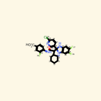 O=C(O)c1ccc(NC(=O)C(C2CCCCC2)C2(c3ccc(Cl)nc3)Nc3cc(F)c(F)cc3N2)c(F)c1